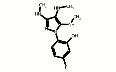 CNc1nn(-c2ccc(F)cc2O)c(NC)c1NC